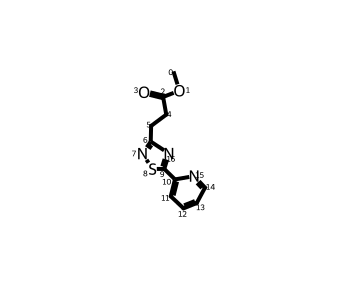 COC(=O)CCc1nsc(-c2ccccn2)n1